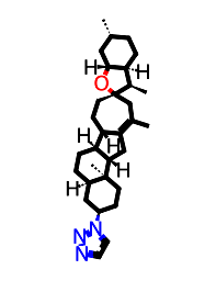 CC1=C2C[C@H]3[C@@H](CC[C@@H]4C[C@H](n5ccnn5)CC[C@@]43C)[C@@H]2CC[C@@]2(C1)O[C@@H]1C[C@H](C)CC[C@H]1[C@H]2C